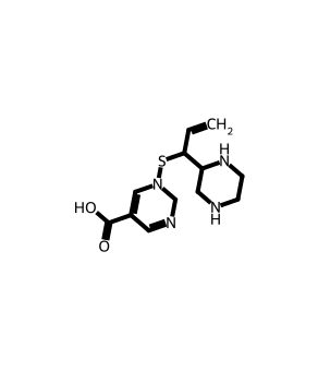 C=CC(SN1C=C(C(=O)O)C=NC1)C1CNCCN1